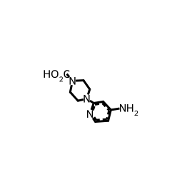 Nc1ccnc(N2CCN(C(=O)O)CC2)c1